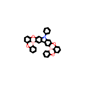 c1ccc(-n2c3cc4c(cc3c3cc5c(cc32)Oc2cccc3c2B5c2ccccc2O3)B2c3ccccc3Oc3cccc(c32)O4)cc1